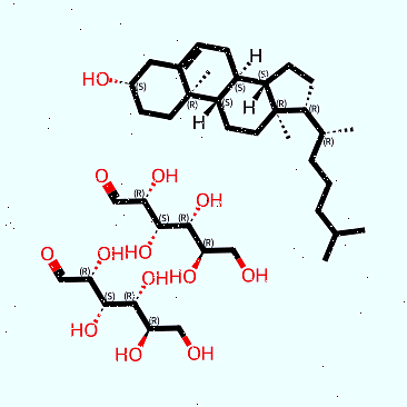 CC(C)CCC[C@@H](C)[C@H]1CC[C@H]2[C@@H]3CC=C4C[C@@H](O)CC[C@]4(C)[C@H]3CC[C@]12C.O=C[C@H](O)[C@@H](O)[C@H](O)[C@H](O)CO.O=C[C@H](O)[C@@H](O)[C@H](O)[C@H](O)CO